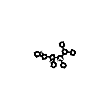 c1ccc(-c2cc(-c3ccccc3)cc(-c3cc(-c4ccc(-c5ccc6c(c5)sc5ccccc56)c5oc6ccccc6c45)nc(-c4ccccc4)n3)c2)cc1